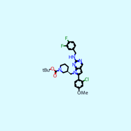 COc1ccc(-c2cc3cnc(NCc4ccc(F)c(F)c4)nc3n2C[C@@H]2CCCN(C(=O)OC(C)(C)C)C2)c(Cl)c1